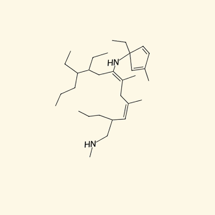 CCCC(/C=C(/C)C/C(C)=C(\CC(CC)C(CC)CCC)NC1(CC)C=CC(C)=C1)CNC